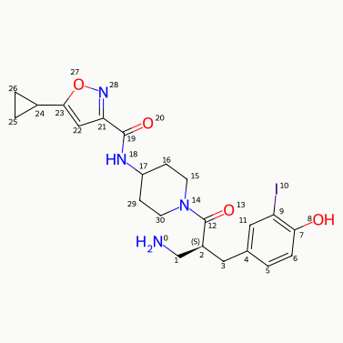 NC[C@H](Cc1ccc(O)c(I)c1)C(=O)N1CCC(NC(=O)c2cc(C3CC3)on2)CC1